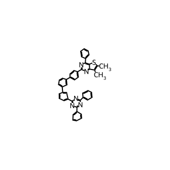 Cc1sc2c(-c3ccccc3)nc(-c3ccc(-c4cccc(-c5cccc(-c6nc(-c7ccccc7)nc(-c7ccccc7)n6)c5)c4)cc3)nc2c1C